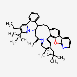 C=C1CC2C(CCc3ccc4c(oc5ncccc54)c3-c3cc(CC(C)(C)C)c(C)c[n+]31)c1ccccc1-c1cc(CC)c([Si](C)(C)C)c[n+]12